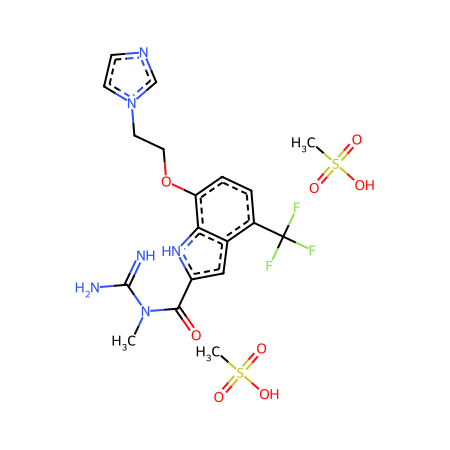 CN(C(=N)N)C(=O)c1cc2c(C(F)(F)F)ccc(OCCn3ccnc3)c2[nH]1.CS(=O)(=O)O.CS(=O)(=O)O